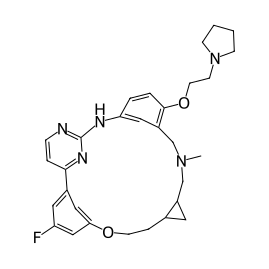 CN1Cc2cc(ccc2OCCN2CCCC2)Nc2nccc(n2)-c2cc(F)cc(c2)OCCC2CC2C1